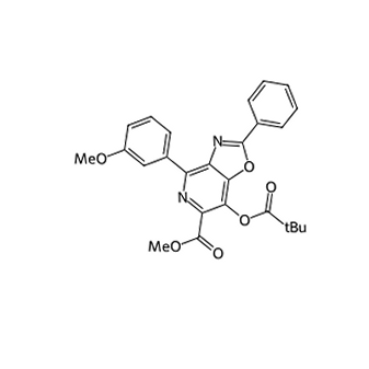 COC(=O)c1nc(-c2cccc(OC)c2)c2nc(-c3ccccc3)oc2c1OC(=O)C(C)(C)C